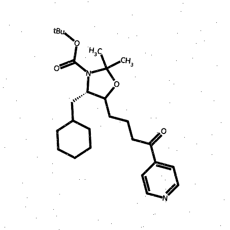 CC(C)(C)OC(=O)N1[C@@H](CC2CCCCC2)C(CCCC(=O)c2ccncc2)OC1(C)C